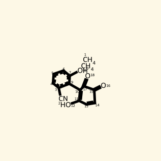 C.C.N#Cc1cccc(O)c1C1=C(O)C=CC(=O)C1=O